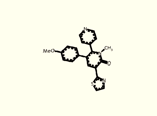 COc1ccc(-c2cc(-c3nccs3)c(=O)n(C)c2-c2ccncc2)cc1